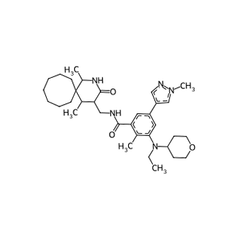 CCN(c1cc(-c2cnn(C)c2)cc(C(=O)NCC2C(=O)NC(C)C3(CCCCCCC3)C2C)c1C)C1CCOCC1